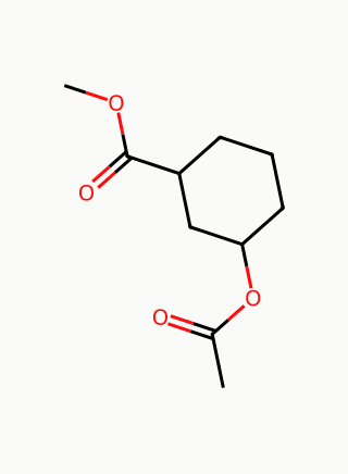 COC(=O)C1CCCC(OC(C)=O)C1